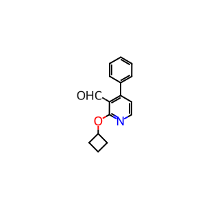 O=Cc1c(-c2ccccc2)ccnc1OC1CCC1